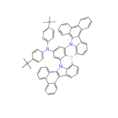 CC(C)(C)c1ccc(N(c2ccc(C(C)(C)C)cc2)c2cc3c4c(c2)-n2c5c(cccc5c5c6ccccc6c6ccccc6c52)B4c2cccc4c5c6ccccc6c6ccccc6c5n-3c24)cc1